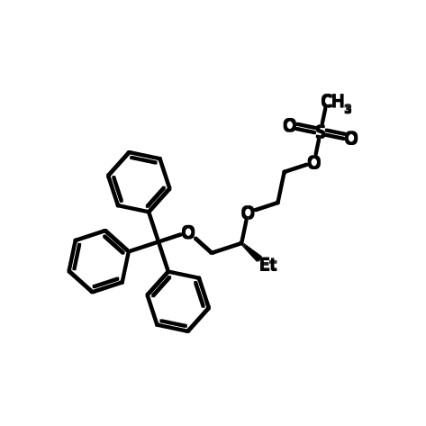 [CH2]C[C@@H](COC(c1ccccc1)(c1ccccc1)c1ccccc1)OCCOS(C)(=O)=O